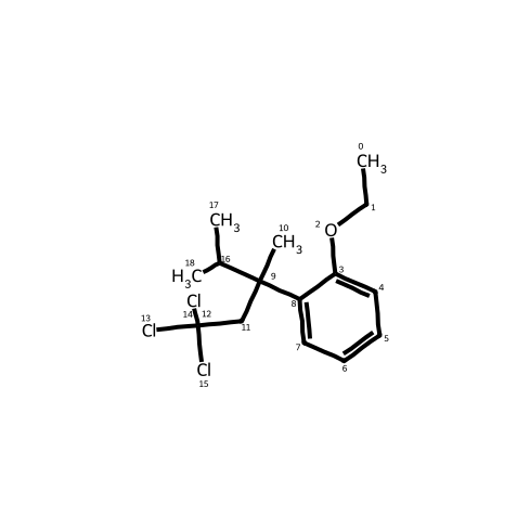 CCOc1ccccc1C(C)(CC(Cl)(Cl)Cl)C(C)C